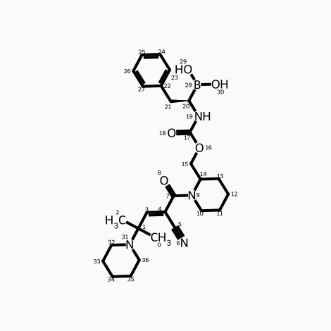 CC(C)(C=C(C#N)C(=O)N1CCCCC1COC(=O)N[C@@H](Cc1ccccc1)B(O)O)N1CCCCC1